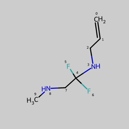 C=CCNC(F)(F)CNC